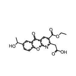 CCOC(=O)c1cc2c(=O)c3cc(C(C)O)ccc3oc2nc1CC(=O)O